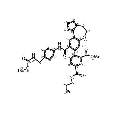 COC(=O)c1nc(C(=O)NCCC(C)C)ccc1-c1cc2c(cc1C(=O)Nc1ccc(CNC(=O)OC(C)(C)C)cc1)-c1sccc1CCO2